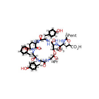 CCCCCC(=O)N[C@@H](CCC(=O)O)C(=O)N[C@@H]1C(=O)N[C@@H](Cc2ccc(O)cc2)C(=O)N[C@H]2CC[C@@H](O)N(C2=O)[C@@H](Cc2ccccc2)C(=O)N(C)[C@@H](Cc2ccc(O)cc2)C(=O)N[C@@H](C(C)C)C(=O)O[C@@H]1C